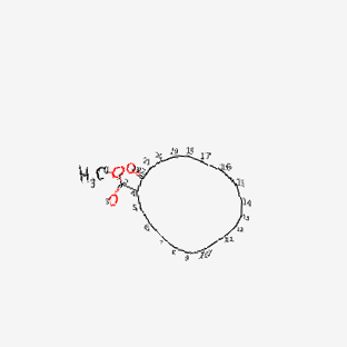 COC(=O)C1CCCCCCCCCCCCCCCCCC1=O